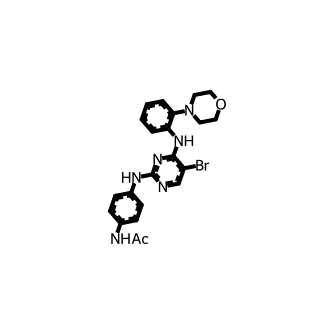 CC(=O)Nc1ccc(Nc2ncc(Br)c(Nc3ccccc3N3CCOCC3)n2)cc1